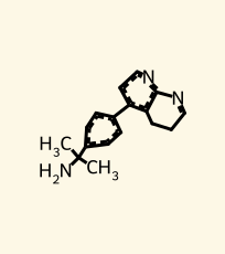 CC(C)(N)c1ccc(-c2ccnc3c2CCC=N3)cc1